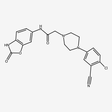 N#Cc1cc(N2CCN(CC(=O)Nc3ccc4[nH]c(=O)oc4c3)CC2)ccc1Cl